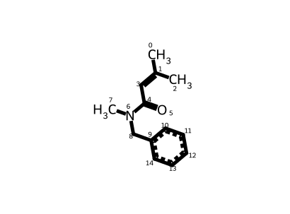 CC(C)=CC(=O)N(C)Cc1ccccc1